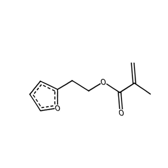 C=C(C)C(=O)OCCc1ccco1